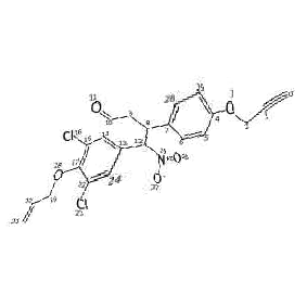 C#CCOc1ccc(C(CC=O)C(c2cc(Cl)c(OCC=C)c(Cl)c2)[N+](=O)[O-])cc1